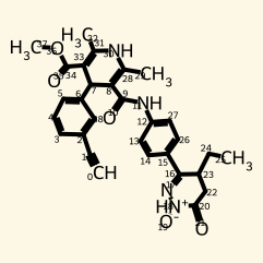 C#Cc1cccc(C2C(C(=O)Nc3ccc(C4=N[NH+]([O-])C(=O)CC4CC)cc3)=C(C)NC(C)=C2C(=O)OC)c1